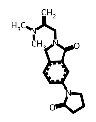 C=C(CN1Cc2ccc(N3CCCC3=O)cc2C1=O)N(C)C